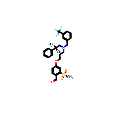 CC(C)(CN(CCCOc1ccc(C=O)c(S(C)(=O)=O)c1)Cc1cccc(C(F)(F)F)c1)c1ccccc1